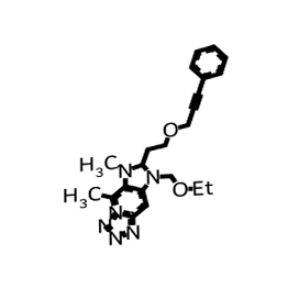 CCOCN1c2cc3nnnn3c(C)c2N(C)C1CCOCC#Cc1ccccc1